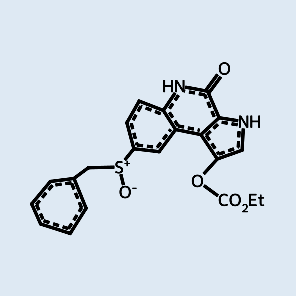 CCOC(=O)Oc1c[nH]c2c(=O)[nH]c3ccc([S+]([O-])Cc4ccccc4)cc3c12